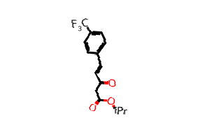 CC(C)OC(=O)CC(=O)C=Cc1ccc(C(F)(F)F)cc1